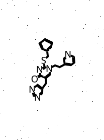 O=c1nc(SCc2ccccc2)n(CCc2cccnc2)cc1Cc1cncnc1